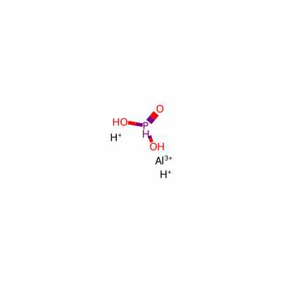 O=[PH](O)O.[Al+3].[H+].[H+]